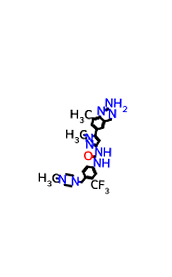 Cc1cc(-c2cc(NC(=O)Nc3ccc(CN4CCN(C)CC4)c(C(F)(F)F)c3)nn2C)cc2cnc(N)nc12